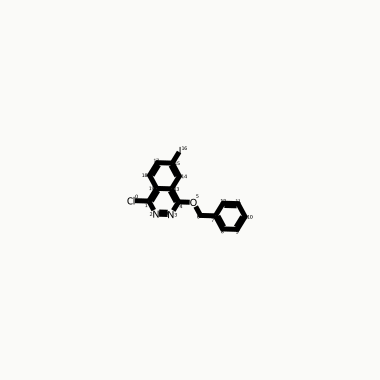 Clc1nnc(OCc2ccccc2)c2cc(I)ccc12